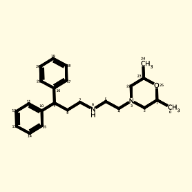 CC1CN(CCNCCC(c2ccccc2)c2ccccc2)CC(C)O1